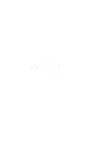 CC(=O)O.CCO.[AlH3].[AlH3]